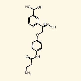 NCCC(=O)Nc1ccc(OC/C(=N\O)c2cc(C(O)O)ccn2)cc1